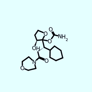 NC(=O)OC1([C@@H](CC(=O)N2CCOCC2)C2CCCCC2)OCC[C@@H]1O